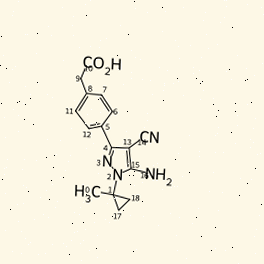 CC1(n2nc(-c3ccc(CC(=O)O)cc3)c(C#N)c2N)CC1